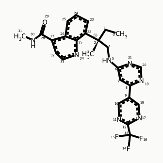 CC[C@](C)(CNc1cc(-c2cnc(C(F)(F)F)nc2)ncn1)c1cccc2c(C(=O)NC)ccnc12